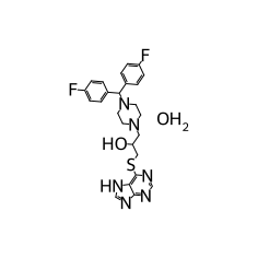 O.OC(CSc1ncnc2nc[nH]c12)CN1CCN(C(c2ccc(F)cc2)c2ccc(F)cc2)CC1